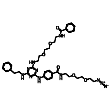 [N-]=[N+]=NCCOCCOCCNC(=O)c1ccc(Nc2nc(NCCOCCOCCNC(=O)c3ccccc3)nc(NCCc3ccccc3)n2)cc1